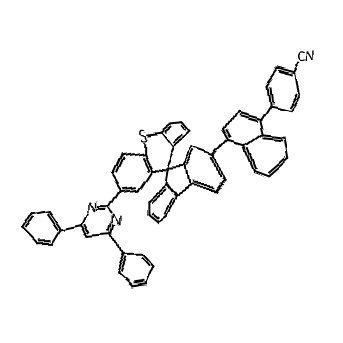 N#Cc1ccc(-c2ccc(-c3ccc4c(c3)C3(c5ccccc5Sc5ccc(-c6nc(-c7ccccc7)cc(-c7ccccc7)n6)cc53)c3ccccc3-4)c3ccccc23)cc1